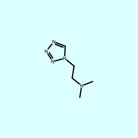 CN(C)CCn1cnnn1